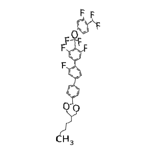 CCCCCC1COC(c2ccc(-c3ccc(-c4cc(F)c(C(F)(F)Oc5ccc(C(F)F)c(F)c5)c(F)c4)c(F)c3)cc2)OC1